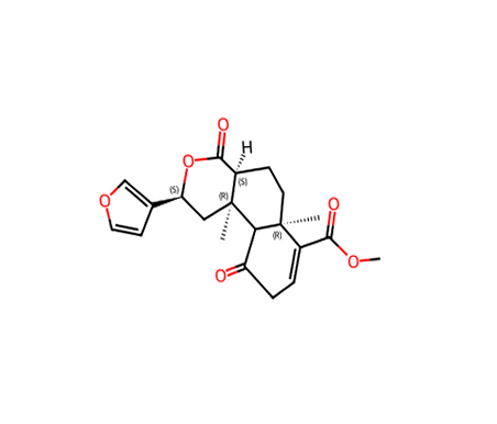 COC(=O)C1=CCC(=O)C2[C@@]1(C)CC[C@@H]1C(=O)O[C@H](c3ccoc3)C[C@]21C